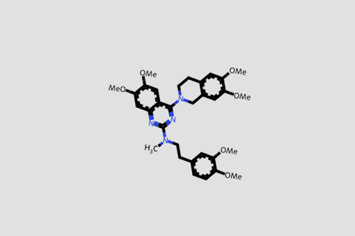 COc1ccc(CCN(C)c2nc(N3CCc4cc(OC)c(OC)cc4C3)c3cc(OC)c(OC)cc3n2)cc1OC